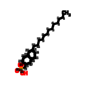 CCCCCCCCCCCCCc1ccc2cc(CP(=O)(O)O)ccc2c1